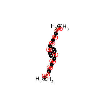 C=C(C)C(=O)OCOc1ccc(C(=O)Oc2ccc(C(=O)Oc3ccc(C(=O)Oc4ccc5ccccc5c4-c4c(OC(=O)c5ccc(OC(=O)c6ccc(OC(=O)c7ccc(OCOC(=O)C(=C)C)cc7)cc6)cc5)ccc5ccccc45)cc3)cc2)cc1